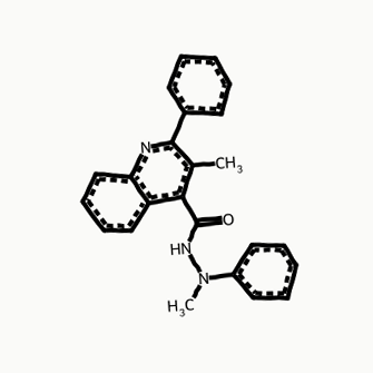 Cc1c(-c2ccccc2)nc2ccccc2c1C(=O)NN(C)c1ccccc1